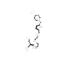 N#CC(C#N)=C1NCCN1CCNCc1ccc(CN2CCC(O)CC2)o1